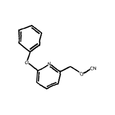 N#COCc1cccc(Oc2ccccc2)n1